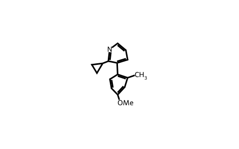 COc1ccc(-c2cccnc2C2CC2)c(C)c1